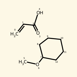 C=CC(=O)O.COC1CCCCC1